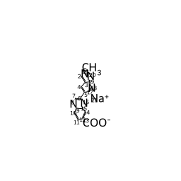 Cn1cc2cc(-c3cnc4ccc(C(=O)[O-])cc4n3)cnc2n1.[Na+]